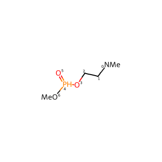 CNCCO[PH](=O)OC